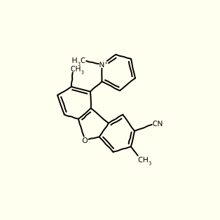 Cc1cc2oc3ccc(C)c(-c4cccc[n+]4C)c3c2cc1C#N